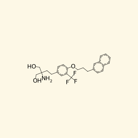 NC(CO)(CO)CCc1ccc(OCCCc2ccc3ccccc3c2)c(C(F)(F)F)c1